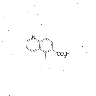 Cc1c(C(=O)O)ccc2ncccc12